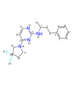 CC(CCc1ccccc1)Nc1nccc(N2CCC(F)(F)C2)n1